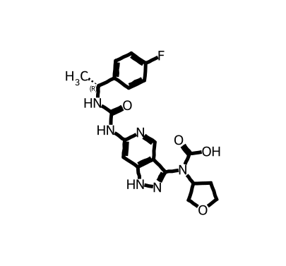 C[C@@H](NC(=O)Nc1cc2[nH]nc(N(C(=O)O)C3CCOC3)c2cn1)c1ccc(F)cc1